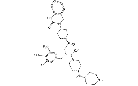 CN1CCC(NC2CCN(C(O)C(CC(=O)N3CCC(N4Cc5ccccc5NC4=O)CC3)Cc3cc(Cl)c(N)c(C(F)(F)F)c3)CC2)CC1